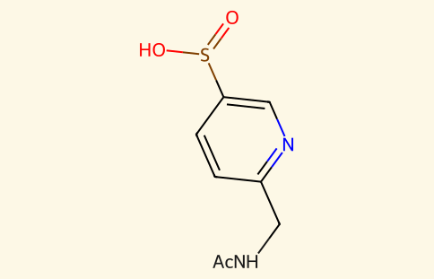 CC(=O)NCc1ccc(S(=O)O)cn1